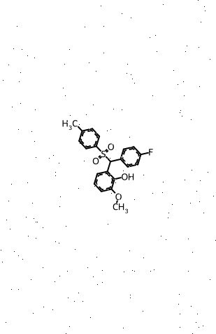 COc1cccc(C(c2ccc(F)cc2)S(=O)(=O)c2ccc(C)cc2)c1O